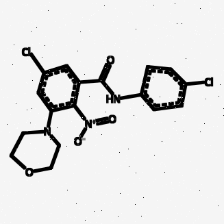 O=C(Nc1ccc(Cl)cc1)c1cc(Cl)cc(N2CCOCC2)c1[N+](=O)[O-]